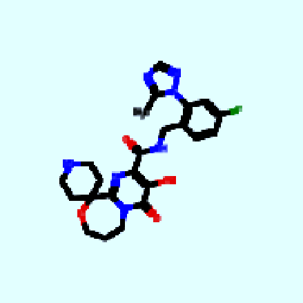 Cc1ncnn1-c1cc(F)ccc1CNC(=O)c1nc2n(c(=O)c1O)CCCOC21CCNCC1